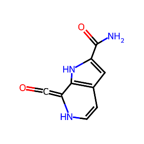 NC(=O)c1cc2c([nH]1)C(=C=O)NC=C2